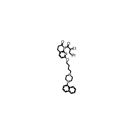 CCC(CC(C)C)C(=O)N1C(=O)CCc2ccc(OCCCCN3CCN(c4cccc5ccccc45)CC3)nc21